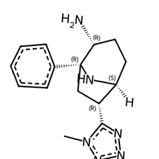 Cn1nnnc1[C@@H]1C[C@]2(c3ccccc3)N[C@H]1CC[C@H]2N